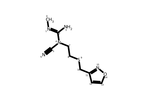 C/N=C(\N)N(C#N)CCSCc1ccon1